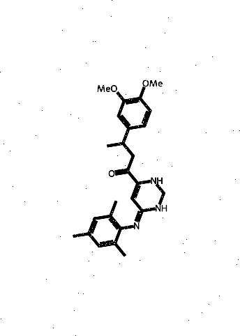 COc1ccc(C(C)CC(=O)C2=CC(=Nc3c(C)cc(C)cc3C)NCN2)cc1OC